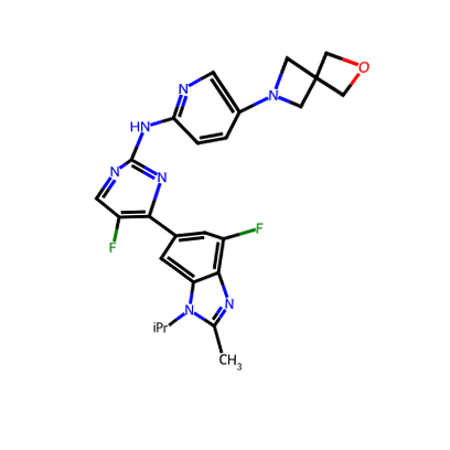 Cc1nc2c(F)cc(-c3nc(Nc4ccc(N5CC6(COC6)C5)cn4)ncc3F)cc2n1C(C)C